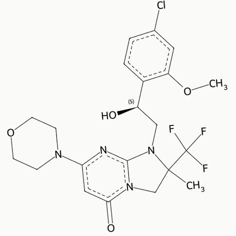 COc1cc(Cl)ccc1[C@H](O)CN1c2nc(N3CCOCC3)cc(=O)n2CC1(C)C(F)(F)F